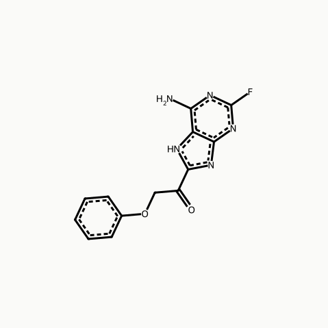 Nc1nc(F)nc2nc(C(=O)COc3ccccc3)[nH]c12